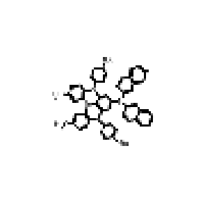 Cc1ccc2c(c1)B1c3cc(C)ccc3N(c3ccc(C(C)(C)C)cc3)c3cc(N(c4ccc5ccccc5c4)c4ccc5ccccc5c4)cc(c31)N2c1ccc(C(C)(C)C)cc1